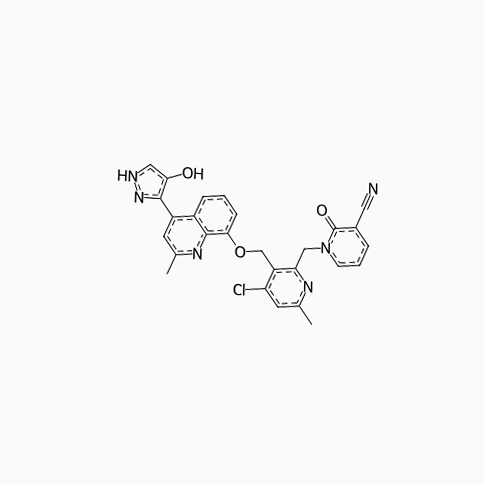 Cc1cc(Cl)c(COc2cccc3c(-c4n[nH]cc4O)cc(C)nc23)c(Cn2cccc(C#N)c2=O)n1